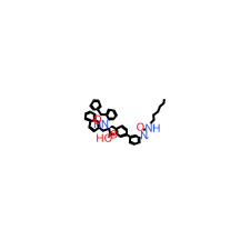 CCCCCCCNC(=O)N(C)c1cccc(-c2ccc(C[C@@](Cc3ccc4ccccc4c3)(Nc3ccccc3C(=O)c3ccccc3)C(=O)O)cc2)c1